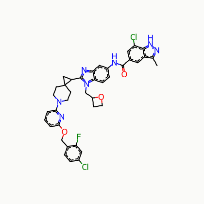 Cc1n[nH]c2c(Cl)cc(C(=O)Nc3ccc4c(c3)nc(C3CC35CCN(c3cccc(OCc6ccc(Cl)cc6F)n3)CC5)n4CC3CCO3)cc12